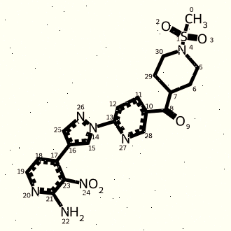 CS(=O)(=O)N1CCC(C(=O)c2ccc(-n3cc(-c4ccnc(N)c4[N+](=O)[O-])cn3)nc2)CC1